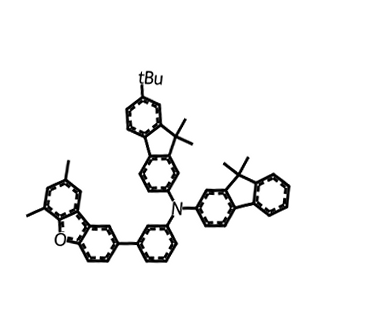 Cc1cc(C)c2oc3ccc(-c4cccc(N(c5ccc6c(c5)C(C)(C)c5ccccc5-6)c5ccc6c(c5)C(C)(C)c5cc(C(C)(C)C)ccc5-6)c4)cc3c2c1